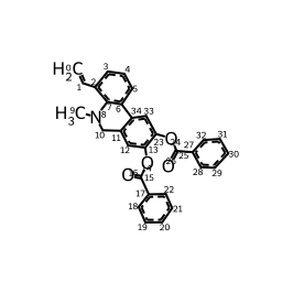 C=Cc1cccc2c1N(C)Cc1cc(OC(=O)c3ccccc3)c(OC(=O)c3ccccc3)cc1-2